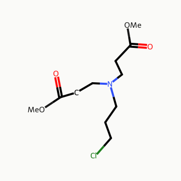 COC(=O)CCN(CCCCl)CCC(=O)OC